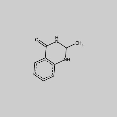 C[C]1NC(=O)c2ccccc2N1